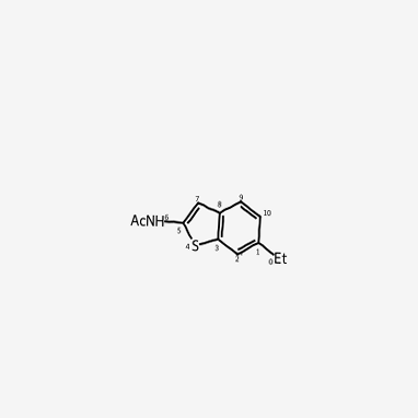 CCc1[c]c2sc(NC(C)=O)cc2cc1